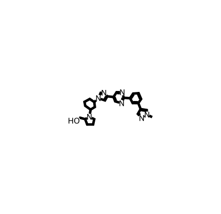 Cn1cc(-c2cccc(-c3ncc(-c4cn(C5CCCC(N6CCCC6CO)C5)cn4)cn3)c2)cn1